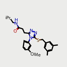 COc1cccc(-n2c(CCC(=O)NCC(C)C)nnc2SCc2cc(C)cc(C)c2)c1